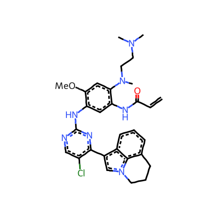 C=CC(=O)Nc1cc(Nc2ncc(Cl)c(-c3cn4c5c(cccc35)CCC4)n2)c(OC)cc1N(C)CCN(C)C